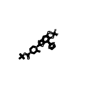 CC1CN(C(=O)OC(C)(C)C)CCN1c1nc2cc(Cl)c(OC(F)(F)F)c(-c3nccs3)c2o1